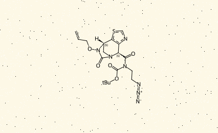 C=CCON1C(=O)N2C[C@H]1c1scnc1[C@H]2C(=O)N(CCN=[N+]=[N-])C(=O)OC(C)(C)C